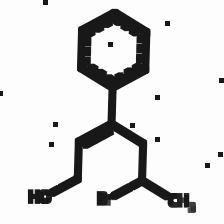 CC(Br)C/C(=C\CO)c1ccccc1